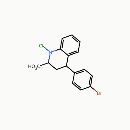 O=C(O)C1CC(c2ccc(Br)cc2)c2ccccc2N1Cl